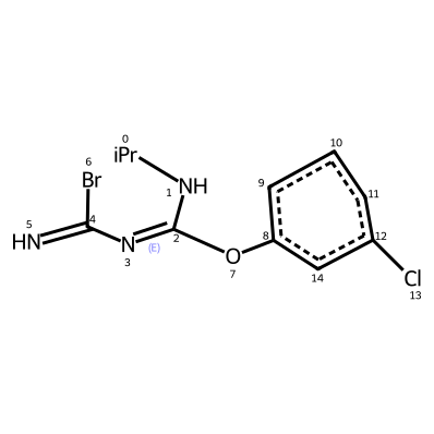 CC(C)N/C(=N\C(=N)Br)Oc1cccc(Cl)c1